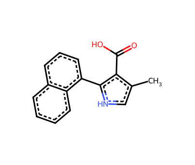 Cc1c[nH]c(-c2cccc3ccccc23)c1C(=O)O